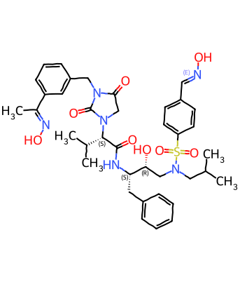 CC(=NO)c1cccc(CN2C(=O)CN([C@H](C(=O)N[C@@H](Cc3ccccc3)[C@H](O)CN(CC(C)C)S(=O)(=O)c3ccc(/C=N/O)cc3)C(C)C)C2=O)c1